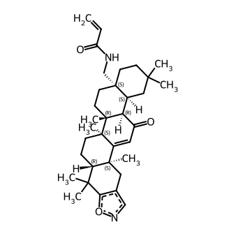 C=CC(=O)NC[C@]12CCC(C)(C)C[C@H]1[C@H]1C(=O)C=C3[C@@]4(C)Cc5cnoc5C(C)(C)[C@@H]4CC[C@@]3(C)[C@]1(C)CC2